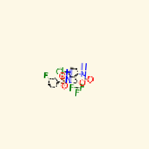 O=C1Nc2ccc(Cl)cc2C(CNS(=O)(=O)c2cccc(F)c2)(C(F)(F)F)O1